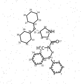 CN(CP(c1ccccc1)c1ccccc1)C(=O)[C@@H]1C[C@H](P(C2CCCCC2)C2CCCCC2)CN1